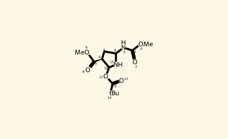 COC(=O)NC1C[C@H](C(=O)OC)C(OC(=O)C(C)(C)C)N1